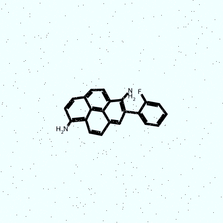 Nc1ccc2ccc3c(N)c(-c4ccccc4F)cc4ccc1c2c43